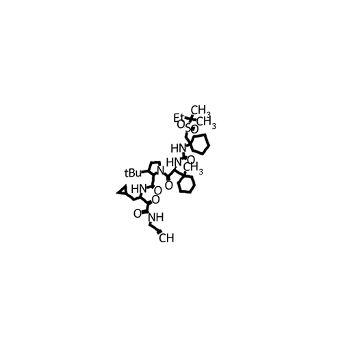 C#CCNC(=O)C(=O)C(CC1CC1)NC(=O)C1C(C(C)(C)C)CCN1C(=O)[C@@H](NC(=O)NC1(CS(=O)(=O)C(C)(C)CC)CCCCC1)C1(C)CCCCC1